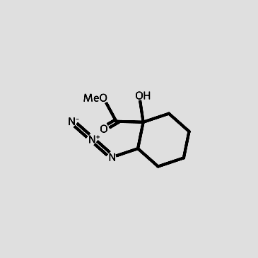 COC(=O)C1(O)CCCCC1N=[N+]=[N-]